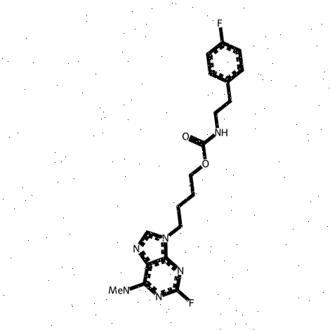 CNc1nc(F)nc2c1ncn2CCCCOC(=O)NCCc1ccc(F)cc1